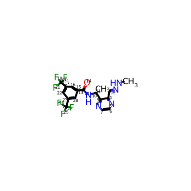 CN/N=C/c1nccnc1C(C)NC(=O)c1cc(C(F)(F)F)cc(C(F)(F)F)c1